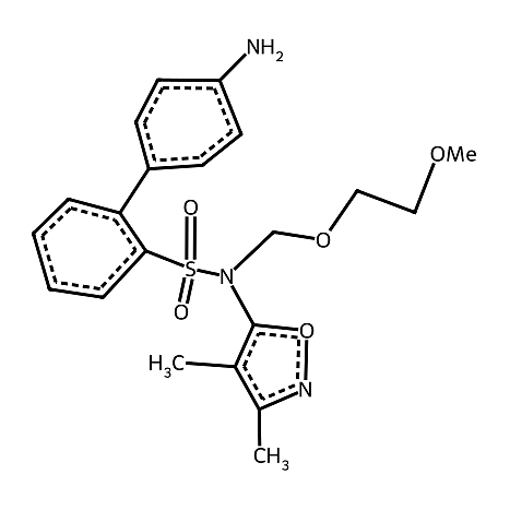 COCCOCN(c1onc(C)c1C)S(=O)(=O)c1ccccc1-c1ccc(N)cc1